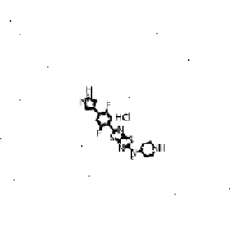 CN(c1nc2sc(-c3cc(F)c(-c4cn[nH]c4)cc3F)nc2s1)C1CCNCC1.Cl